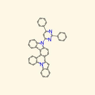 c1ccc(-c2cc(-n3c4ccccc4c4c5c6ccccc6n6c7ccccc7cc6c5ccc43)nc(-c3ccccc3)n2)cc1